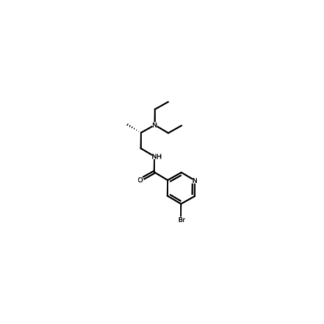 CCN(CC)[C@@H](C)CNC(=O)c1cncc(Br)c1